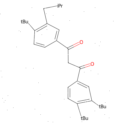 CC(C)Cc1cc(C(=O)CC(=O)c2ccc(C(C)(C)C)c(C(C)(C)C)c2)ccc1C(C)(C)C